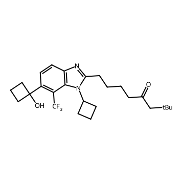 CC(C)(C)CC(=O)CCCCc1nc2ccc(C3(O)CCC3)c(C(F)(F)F)c2n1C1CCC1